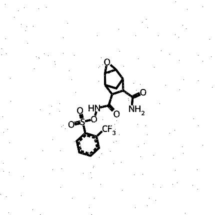 NC(=O)C1C2CC(C3OC23)C1C(=O)NOS(=O)(=O)c1ccccc1C(F)(F)F